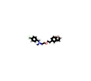 CN(CCOCCc1ccc2sccc2c1)Cc1ccc(F)cc1